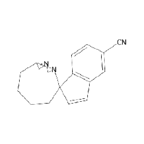 N#Cc1ccc2c(c1)C=CC21CCCCC2C=NCN21